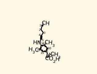 C#CCCC#CNc1c(C)cc(N(C)C(=O)O)cc1C